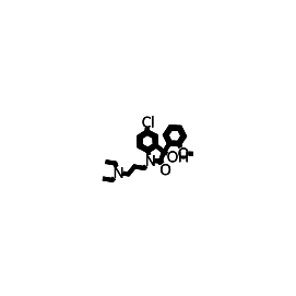 CCN(CC)CCCN1C(=O)C(O)(c2ccccc2OC)c2cc(Cl)ccc21